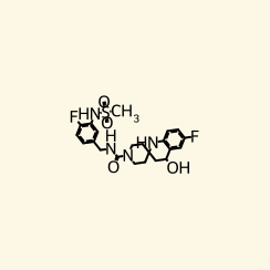 CS(=O)(=O)Nc1cc(CNC(=O)N2CCC3(CC2)CC(O)c2cc(F)ccc2N3)ccc1F